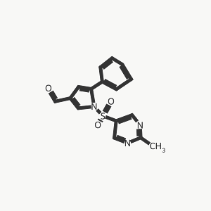 Cc1ncc(S(=O)(=O)n2cc(C=O)cc2-c2ccccc2)cn1